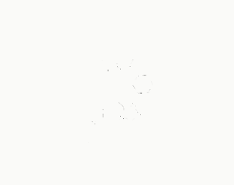 Cc1nn(-c2ccc(Cl)c(C(=O)NCC3(O)CCCCCC3)c2)c(=O)n1CC(=O)N(C)C1CC1